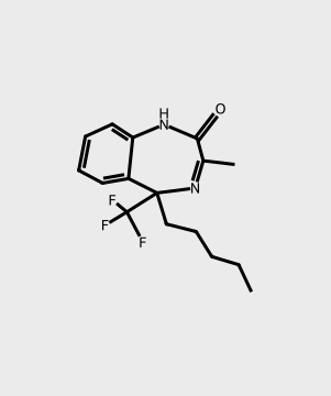 CCCCCC1(C(F)(F)F)N=C(C)C(=O)Nc2ccccc21